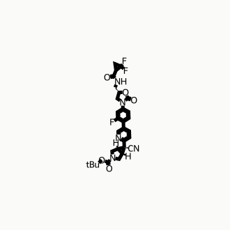 CC(C)(C)OC(=O)N1C[C@@H]2[C@H](C1)[C@@]2(C#N)c1ccc(-c2ccc(N3C[C@H](CNC(=O)C4CC4(F)F)OC3=O)cc2F)cn1